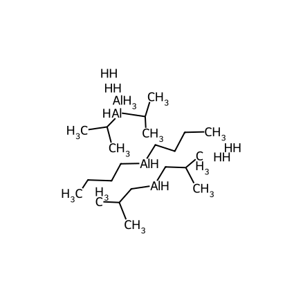 CC(C)[CH2][AlH][CH2]C(C)C.CCC[CH2][AlH][CH2]CCC.C[CH](C)[AlH][CH](C)C.[AlH3].[HH].[HH].[HH].[HH]